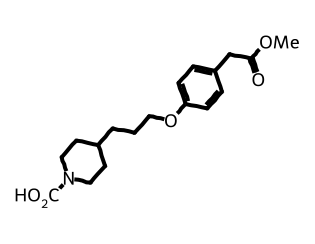 COC(=O)Cc1ccc(OCCCC2CCN(C(=O)O)CC2)cc1